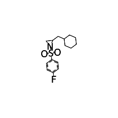 O=S(=O)(c1ccc(F)cc1)N1CC1CC1CCCCC1